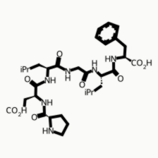 CC(C)C[C@H](NC(=O)CNC(=O)[C@H](CC(C)C)NC(=O)[C@H](CC(=O)O)NC(=O)[C@@H]1CCCN1)C(=O)N[C@@H](Cc1ccccc1)C(=O)O